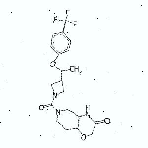 CC(Oc1ccc(C(F)(F)F)cc1)C1CN(C(=O)N2CCC3OCC(=O)NC3C2)C1